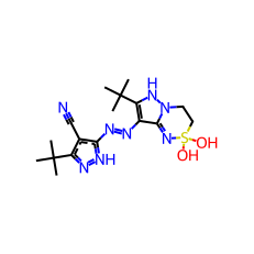 CC(C)(C)C1=C(N=Nc2[nH]nc(C(C)(C)C)c2C#N)C2=NS(O)(O)CCN2N1